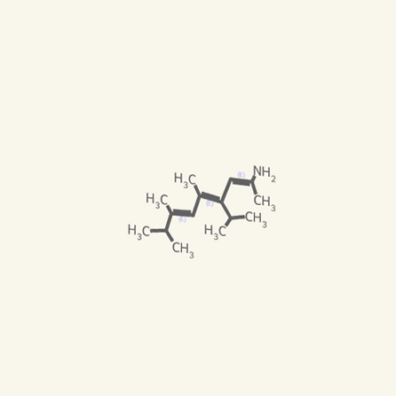 C\C(N)=C/C(=C(C)/C=C(\C)C(C)C)C(C)C